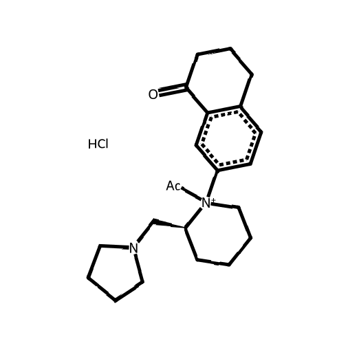 CC(=O)[N+]1(c2ccc3c(c2)C(=O)CCC3)CCCC[C@H]1CN1CCCC1.Cl